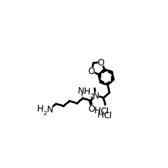 CC(Cc1ccc2c(c1)OCO2)N(C)C(=O)[C@@H](N)CCCCN.Cl.Cl